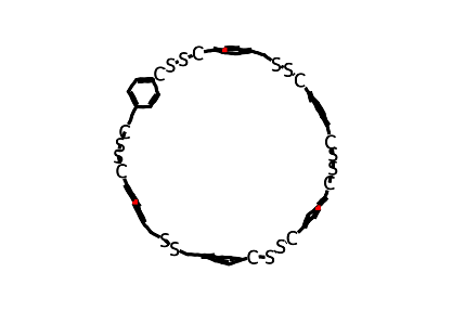 c1cc2ccc1CSSCc1ccc(cc1)CSSCc1ccc(cc1)CSSCc1ccc(cc1)CSSCc1ccc(cc1)CSSCc1ccc(cc1)CSSC2